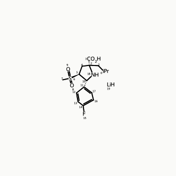 CC(C)C[C@]1(C(=O)O)C[C@H](S(C)(=O)=O)[C@@H](c2ccc(F)cc2)N1.[LiH]